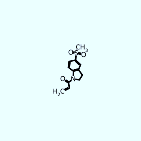 C=CC(=O)N1CCc2cc(S(C)(=O)=O)ccc21